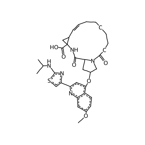 COc1ccc2c(OC3CC4C(=O)NC5(C(=O)O)CC5C=CCCCCCCC(=O)N4C3)cc(-c3csc(NC(C)C)n3)nc2c1